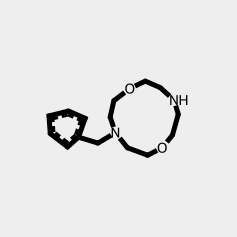 c1ccc(CN2CCOCCNCCOCC2)cc1